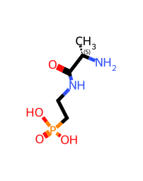 C[C@H](N)C(=O)NCCP(=O)(O)O